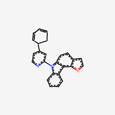 C1=CCC(c2ccnc(-n3c4ccccc4c4c5occc5ccc43)c2)C=C1